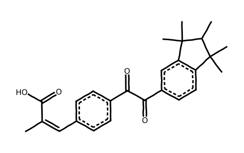 CC(=Cc1ccc(C(=O)C(=O)c2ccc3c(c2)C(C)(C)C(C)C3(C)C)cc1)C(=O)O